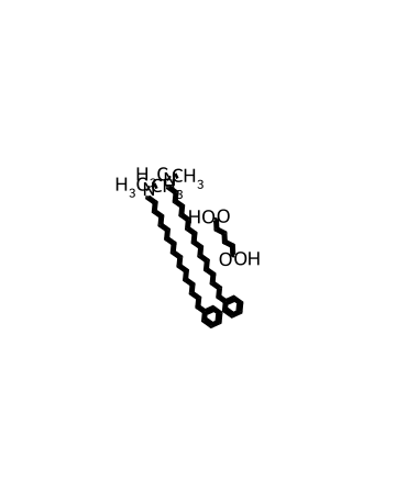 CN(C)CCCCCCCCCCCCCCCCCc1ccccc1.CN(C)CCCCCCCCCCCCCCCCCc1ccccc1.O=C(O)CCCCC(=O)O